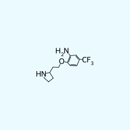 Nc1cc(C(F)(F)F)ccc1OCCC1CCCN1